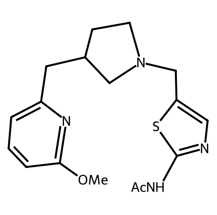 COc1cccc(CC2CCN(Cc3cnc(NC(C)=O)s3)C2)n1